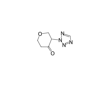 O=C1CCOCC1n1ncnn1